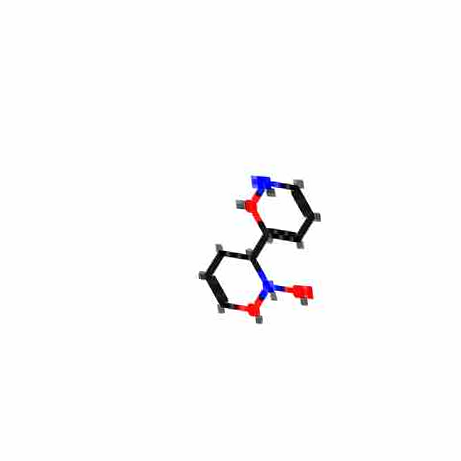 ON1OC=CCC1C1=CC=CNO1